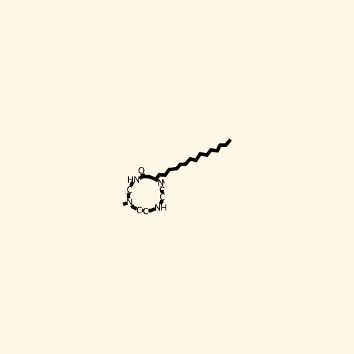 CCCCCCCCCCCCCCCC1CC(=O)NCCCN(C)CCCCNCCCN1C